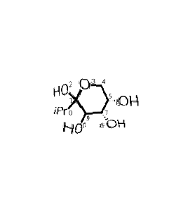 CC(C)C1(O)OC[C@H](O)[C@H](O)C1O